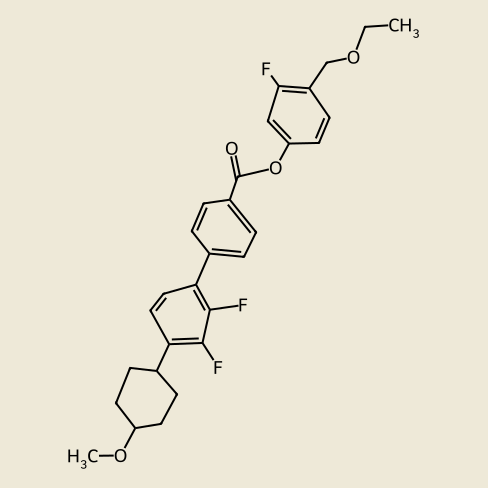 CCOCc1ccc(OC(=O)c2ccc(-c3ccc(C4CCC(OC)CC4)c(F)c3F)cc2)cc1F